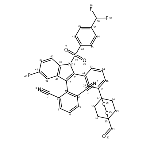 N#Cc1cccc(C#N)c1-c1c(-c2cccc(C34CCC(C=O)(CC3)CC4)c2)n(S(=O)(=O)c2ccc(C(F)F)cc2)c2ccc(F)cc12